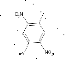 Cc1cc([N+](=O)[O-])c(C(C)C)cc1[N+](=O)[O-]